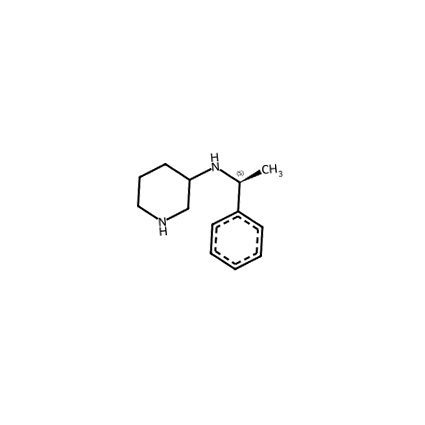 C[C@H](NC1CCCNC1)c1ccccc1